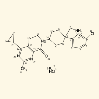 Cl.Cl.NCC1(c2cccc(Cl)c2)CCC(N2CCc3c(nc(C(F)(F)F)nc3C3CC3)C2=O)CC1